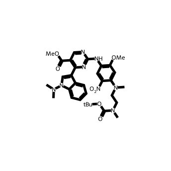 COC(=O)c1cnc(Nc2cc([N+](=O)[O-])c(N(C)CCN(C)C(=O)OC(C)(C)C)cc2OC)nc1-c1cn(N(C)C)c2ccccc12